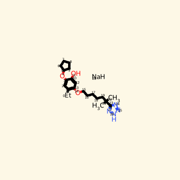 CCc1cc(OC2CCCC2)c(O)cc1OCCCCCC(C)(C)c1nn[nH]n1.[NaH]